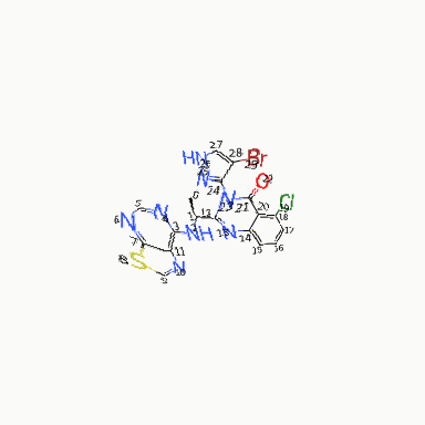 C[C@H](Nc1ncnc2scnc12)c1nc2cccc(Cl)c2c(=O)n1-c1n[nH]cc1Br